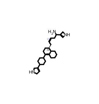 NC(C/C=C\C[C@@H]1CCC(C2CCC(C3=CCNC3)CC2)=C2CCCCC21)C1=CNC1